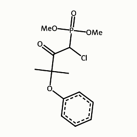 COP(=O)(OC)C(Cl)C(=O)C(C)(C)Oc1ccccc1